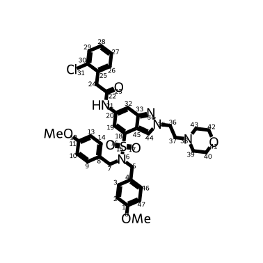 COc1ccc(CN(Cc2ccc(OC)cc2)S(=O)(=O)c2cc(NC(=O)Cc3ccccc3Cl)cc3nn(CCN4CCOCC4)cc23)cc1